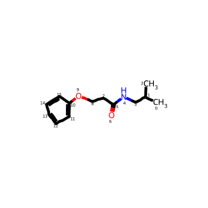 CC(C)CNC(=O)CCOc1ccccc1